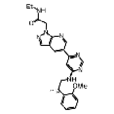 CCNC(=O)Cn1ncc2cc(-c3cc(NC[C@@H](C)c4ccccc4OC)ncn3)cnc21